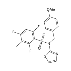 COc1ccc(CN(c2nccs2)S(=O)(=O)c2c(F)cc(F)c(C)c2F)cc1